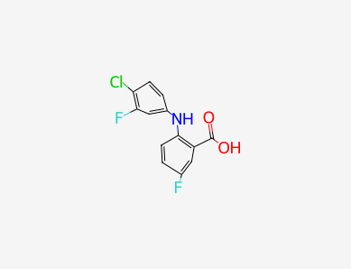 O=C(O)c1cc(F)ccc1Nc1ccc(Cl)c(F)c1